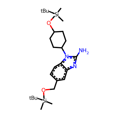 CC(C)(C)[Si](C)(C)OCc1ccc2c(c1)nc(N)n2C1CCC(O[Si](C)(C)C(C)(C)C)CC1